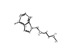 Cc1ncnc2c1ccn2COCCSI